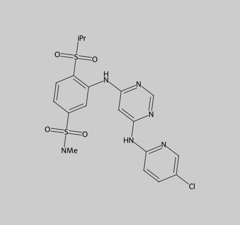 CNS(=O)(=O)c1ccc(S(=O)(=O)C(C)C)c(Nc2cc(Nc3ccc(Cl)cn3)ncn2)c1